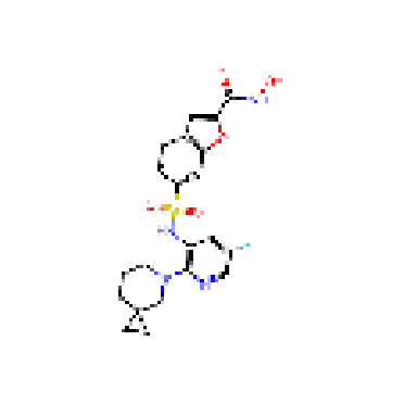 O=C(NO)c1cc2ccc(S(=O)(=O)Nc3cc(F)cnc3N3CCCC4(CC4)C3)cc2o1